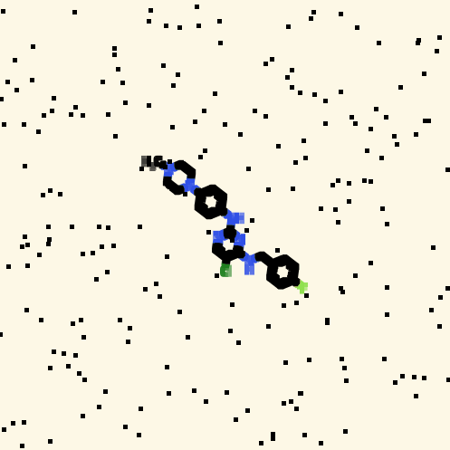 CN1CCN(c2ccc(Nc3ncc(Cl)c(NCc4ccc(F)cc4)n3)cc2)CC1